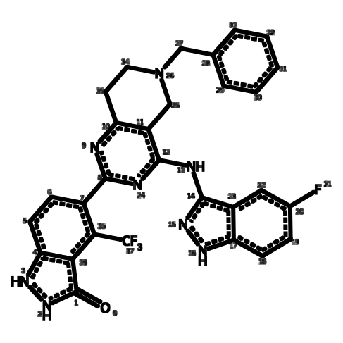 O=c1[nH][nH]c2ccc(-c3nc4c(c(Nc5n[nH]c6ccc(F)cc56)n3)CN(Cc3ccccc3)CC4)c(C(F)(F)F)c12